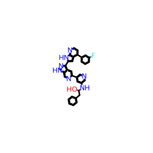 OC(Cc1ccccc1)Nc1cncc(-c2cc3c(-c4cc5c(-c6cccc(F)c6)ccnc5[nH]4)n[nH]c3cn2)c1